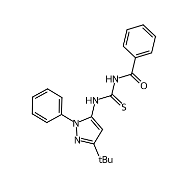 CC(C)(C)c1cc(NC(=S)NC(=O)c2ccccc2)n(-c2ccccc2)n1